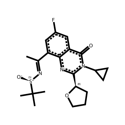 CC(=N[S@+]([O-])C(C)(C)C)c1cc(F)cc2c(=O)n(C3CC3)c([C@H]3CCCO3)nc12